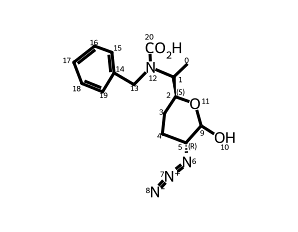 CC([C@@H]1CC[C@@H](N=[N+]=[N-])C(O)O1)N(Cc1ccccc1)C(=O)O